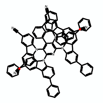 N#Cc1ccc2c(c1)c1cc(C#N)ccc1n2-c1c(-n2c3ccc(-c4ccccc4)cc3c3cc(-c4ccccc4)ccc32)nc(-n2c3ccc(-c4ccccc4)cc3c3cc(-c4ccccc4)ccc32)c(-n2c3ccc(C#N)cc3c3cc(C#N)ccc32)c1-c1cccc2c3ccccc3n(-c3ccccc3)c12